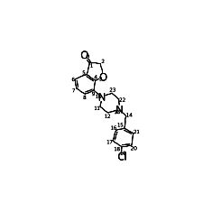 O=C1COc2c1cccc2N1CCN(Cc2ccc(Cl)cc2)CC1